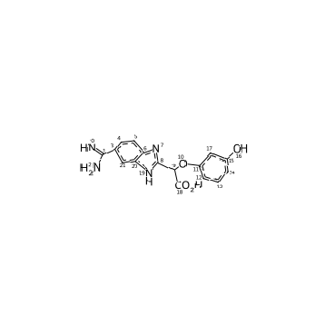 N=C(N)c1ccc2nc(C(Oc3cccc(O)c3)C(=O)O)[nH]c2c1